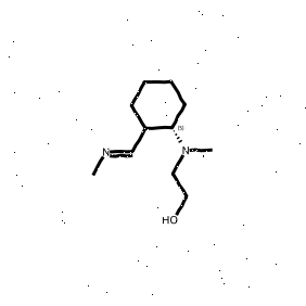 CN=CC1CCCC[C@@H]1N(C)CCO